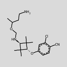 CC(CCN)OCN[C@H]1C(C)(C)[C@H](Oc2ccc(C#N)c(Cl)c2)C1(C)C